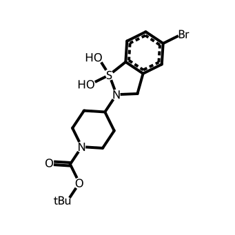 CC(C)(C)OC(=O)N1CCC(N2Cc3cc(Br)ccc3S2(O)O)CC1